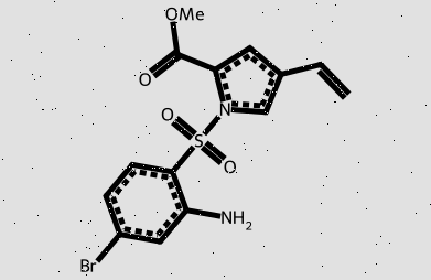 C=Cc1cc(C(=O)OC)n(S(=O)(=O)c2ccc(Br)cc2N)c1